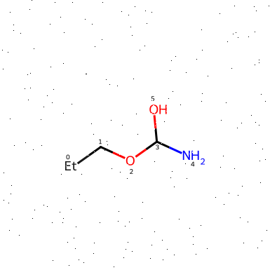 CCCOC(N)O